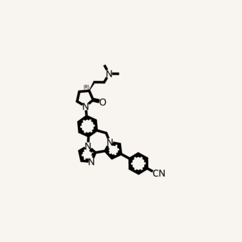 CN(C)CC[C@@H]1CCN(c2ccc3c(c2)Cn2cc(-c4ccc(C#N)cc4)cc2-c2nccn2-3)C1=O